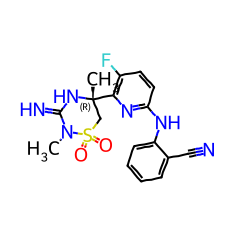 CN1C(=N)N[C@](C)(c2nc(Nc3ccccc3C#N)ccc2F)CS1(=O)=O